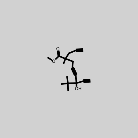 C#CCC(C)(CC#CC(O)(C#C)C(C)(C)C)C(=O)OC